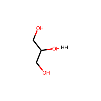 OCC(O)CO.[HH]